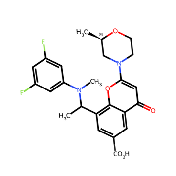 CC(c1cc(C(=O)O)cc2c(=O)cc(N3CCO[C@H](C)C3)oc12)N(C)c1cc(F)cc(F)c1